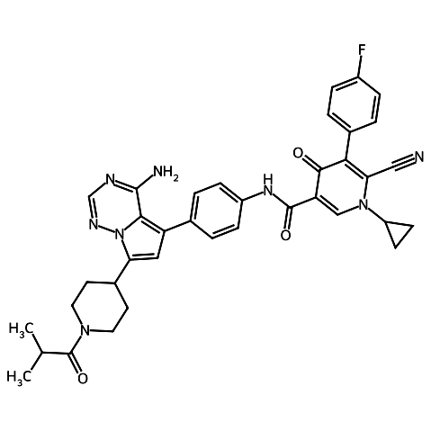 CC(C)C(=O)N1CCC(c2cc(-c3ccc(NC(=O)c4cn(C5CC5)c(C#N)c(-c5ccc(F)cc5)c4=O)cc3)c3c(N)ncnn23)CC1